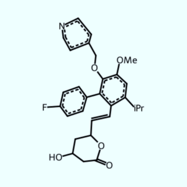 COc1cc(C(C)C)c(C=CC2CC(O)CC(=O)O2)c(-c2ccc(F)cc2)c1OCc1ccncc1